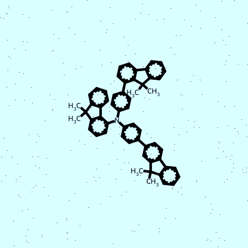 CC1(C)c2ccccc2-c2ccc(-c3ccc(N(c4ccc(-c5cccc6c5C(C)(C)c5ccccc5-6)cc4)c4cccc5c4-c4ccccc4C5(C)C)cc3)cc21